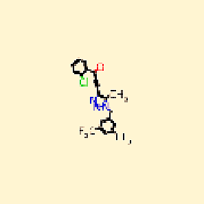 Cc1c(C#CC(=O)c2ccccc2Cl)nnn1Cc1cc(C(F)(F)F)cc(C(F)(F)F)c1